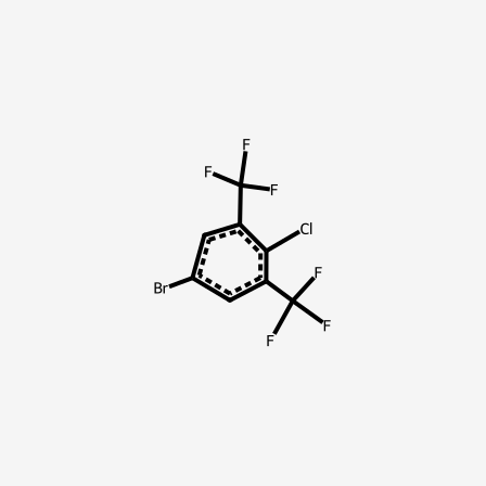 FC(F)(F)c1cc(Br)cc(C(F)(F)F)c1Cl